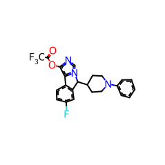 O=C(Oc1ncn2c1-c1ccc(F)cc1C2C1CCN(c2ccccc2)CC1)C(F)(F)F